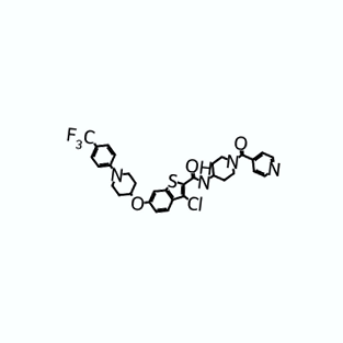 O=C(NC1CCN(C(=O)c2ccncc2)CC1)c1sc2cc(OC3CCN(c4ccc(C(F)(F)F)cc4)CC3)ccc2c1Cl